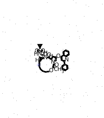 C[C@H]1OCCCC/C=C\[C@@H]2C[C@@]2(C(=O)NS(=O)(=O)C2CC2)NC(=O)[C@@H]2C[C@@H](Oc3cc(-c4ccccc4)nc4ccccc34)CN2C1=O